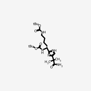 CC(C)(C)OC(=O)NCCCC[C@H](NC(=O)OC(C)(C)C)c1nc(C(C)(C)C(N)=O)c[nH]1